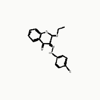 CCOC1Oc2ccccc2C(=O)C1=NNc1ccc(Cl)cc1